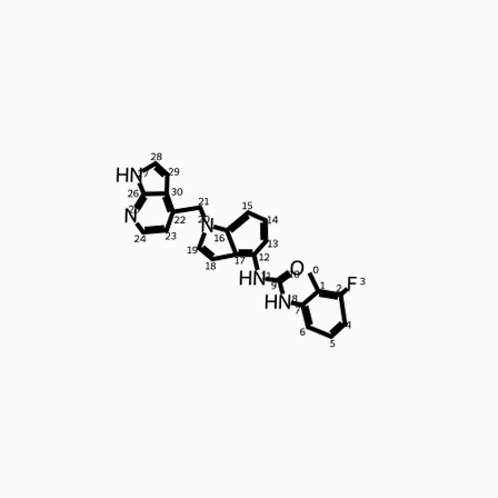 Cc1c(F)cccc1NC(=O)Nc1cccc2c1ccn2Cc1ccnc2[nH]ccc12